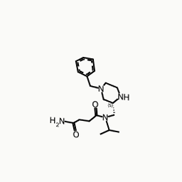 CC(C)N(C[C@@H]1CN(Cc2ccccc2)CCN1)C(=O)CCC(N)=O